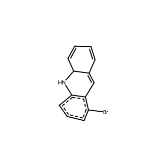 Brc1cccc2c1C=C1C=CC=CC1N2